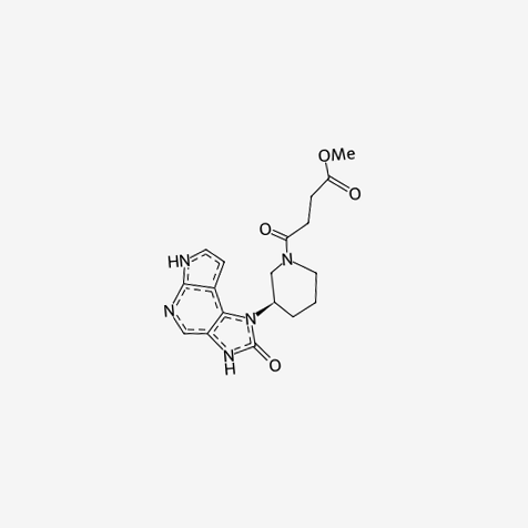 COC(=O)CCC(=O)N1CCC[C@@H](n2c(=O)[nH]c3cnc4[nH]ccc4c32)C1